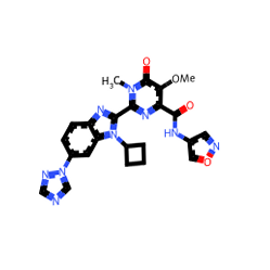 COc1c(C(=O)Nc2cnoc2)nc(-c2nc3ccc(-n4cncn4)cc3n2C2CCC2)n(C)c1=O